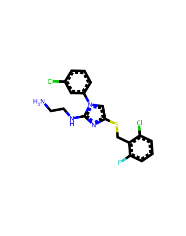 NCCNc1nc(SCc2c(F)cccc2Cl)cn1-c1cccc(Cl)c1